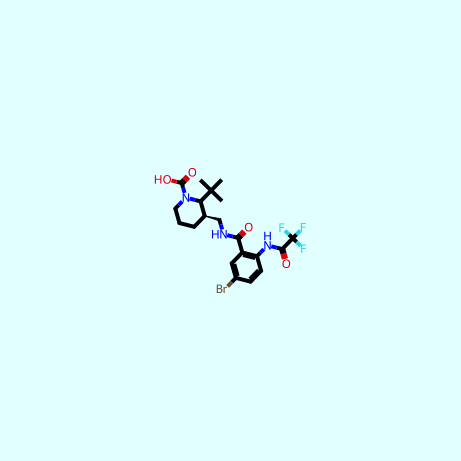 CC(C)(C)C1[C@@H](CNC(=O)c2cc(Br)ccc2NC(=O)C(F)(F)F)CCCN1C(=O)O